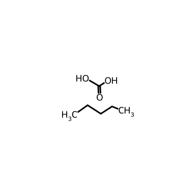 CCCCC.O=C(O)O